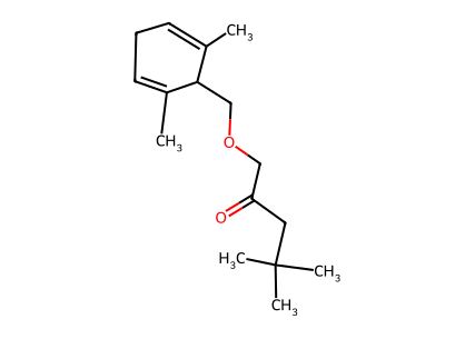 CC1=CCC=C(C)C1COCC(=O)CC(C)(C)C